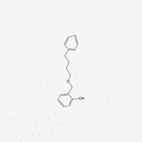 Oc1ccccc1COCCCCc1ccccc1